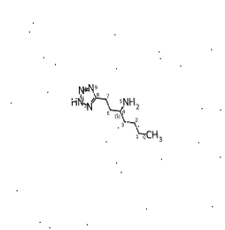 CCCC[C@H](N)CCc1nn[nH]n1